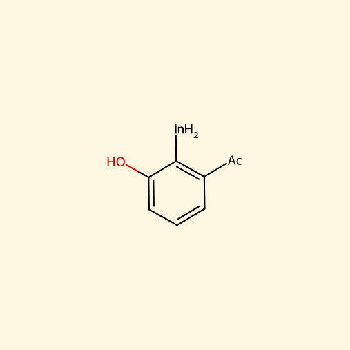 CC(=O)c1cccc(O)[c]1[InH2]